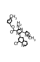 Cn1ccc(COC(=O)c2nc(-c3cc(Cl)c4ncccc4c3)c(-c3ccn(C)n3)nc2N)c1